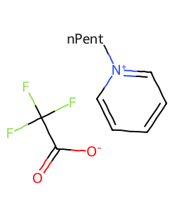 CCCCC[n+]1ccccc1.O=C([O-])C(F)(F)F